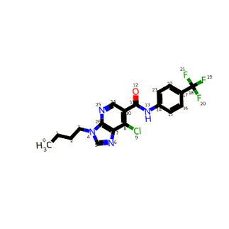 CCCCn1cnc2c(Cl)c(C(=O)Nc3ccc(C(F)(F)F)cc3)cnc21